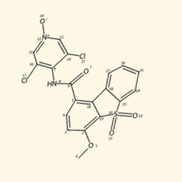 COc1ccc(C(=O)Nc2c(Cl)c[n+]([O-])cc2Cl)c2c1S(=O)(=O)c1ccccc1-2